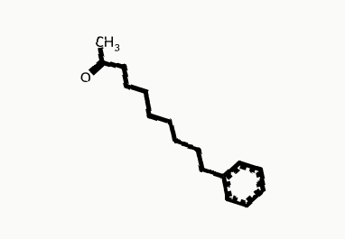 CC(=O)CCCCCCCCc1ccccc1